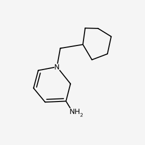 NC1=CC=CN(CC2CCCCC2)C1